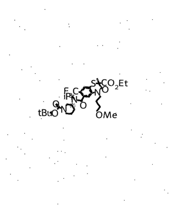 CCOC(=O)C1(C)Sc2cc(C(F)(F)F)c(C(=O)N(C(C)C)[C@@H]3CCCN(C(=O)OC(C)(C)C)C3)cc2N(CCCCOC)C1=O